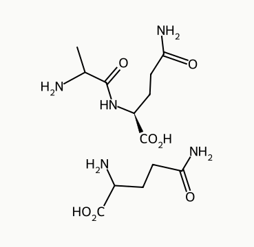 CC(N)C(=O)N[C@@H](CCC(N)=O)C(=O)O.NC(=O)CCC(N)C(=O)O